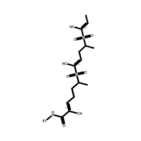 C/C=C(\C#N)S(=O)(=O)C(C)C/C=C(\C#N)S(=O)(=O)C(C)CC/C=C(\C#N)C(=O)NCC